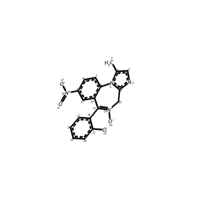 Cc1cnc2n1-c1ccc([N+](=O)[O-])cc1C(c1ccccc1Cl)=[N+]([O-])C2